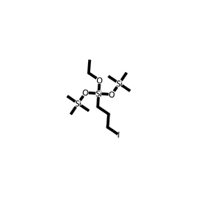 CCO[Si](CCCI)(O[Si](C)(C)C)O[Si](C)(C)C